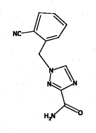 N#Cc1ccccc1Cn1cnc(C(N)=O)n1